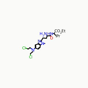 CCOC(=O)C(NC(=O)C(N)CCc1nc2cc(N(CCCl)CCCl)ccc2n1C)C(C)C